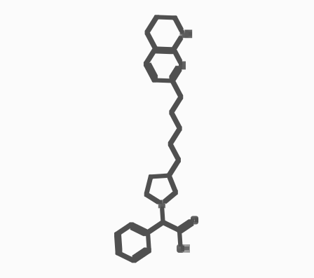 O=C(O)C(c1ccccc1)N1CCC(CCCCCc2ccc3c(n2)NCCC3)C1